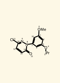 COc1cc(OC(C)C)cc(-n2nc(Cl)ccc2=O)c1